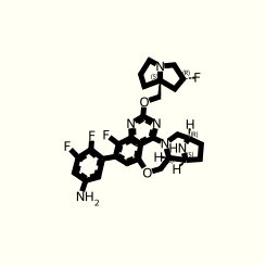 Nc1cc(F)c(F)c(-c2cc3c4c(nc(OC[C@@]56CCCN5C[C@H](F)C6)nc4c2F)N2C[C@H]4CC[C@H](N4)[C@H]2CO3)c1